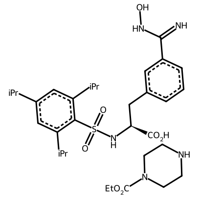 CC(C)c1cc(C(C)C)c(S(=O)(=O)N[C@@H](Cc2cccc(C(=N)NO)c2)C(=O)O)c(C(C)C)c1.CCOC(=O)N1CCNCC1